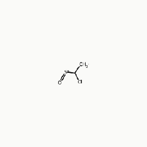 [CH2]C(Cl)[S+]=O